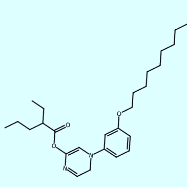 CCCCCCCCCOc1cccc(N2C=C(OC(=O)C(CC)CCC)N=CC2)c1